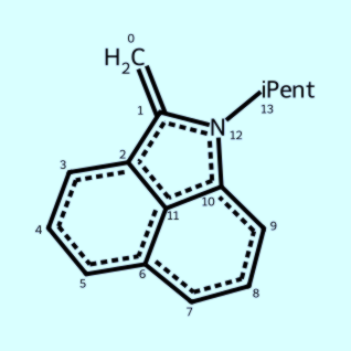 C=c1c2cccc3cccc(c32)n1C(C)CCC